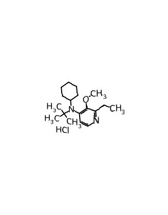 CCc1nccc(N(C2CCCCC2)C(C)(C)C)c1OC.Cl